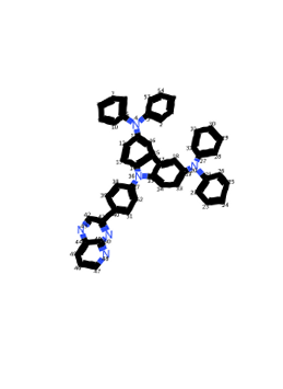 c1ccc(N(c2ccccc2)c2ccc3c(c2)c2cc(N(c4ccccc4)c4ccccc4)ccc2n3-c2ccc(-c3cnc4cccnc4n3)cc2)cc1